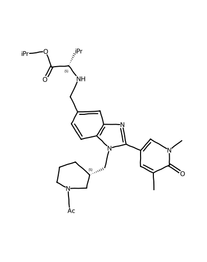 CC(=O)N1CCC[C@H](Cn2c(-c3cc(C)c(=O)n(C)c3)nc3cc(CN[C@H](C(=O)OC(C)C)C(C)C)ccc32)C1